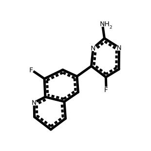 Nc1ncc(F)c(-c2cc(F)c3ncccc3c2)n1